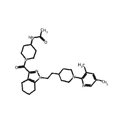 CC(=O)NC1CCN(C(=O)c2nn(CCC3CCN(c4ncc(C)cc4C)CC3)c3c2CCCC3)CC1